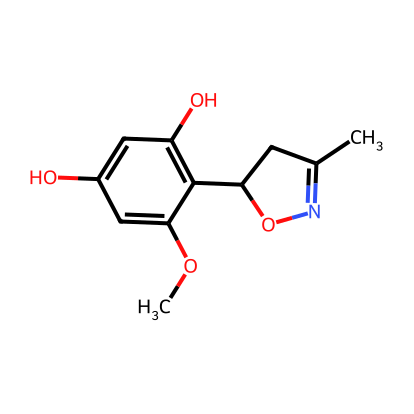 COc1cc(O)cc(O)c1C1CC(C)=NO1